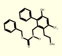 CCN(Cc1c(CCOC(C)=O)c(C(F)(F)F)cc(O)c1-c1ccccc1)C(=O)OCc1ccccc1